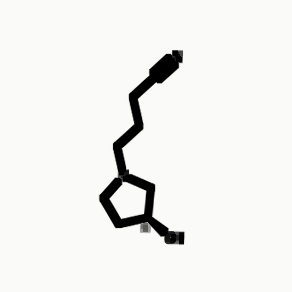 N#CCCCN1CC[C@H](O)C1